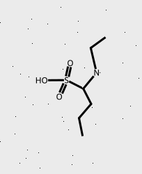 CCCC([N]CC)S(=O)(=O)O